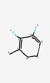 CC1=C(F)C(F)=CCC1